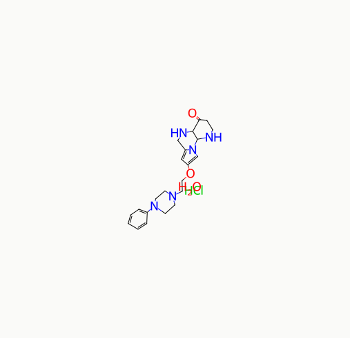 Cl.O.O=C1CCNC2C1NCc1cc(OCCN3CCN(c4ccccc4)CC3)cn12